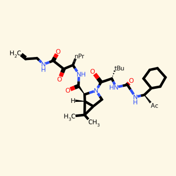 C=CCNC(=O)C(=O)C(CCC)NC(=O)[C@@H]1[C@@H]2C(CN1C(=O)[C@@H](NC(=O)N[C@H](C(C)=O)C1CCCCC1)C(C)(C)C)C2(C)C